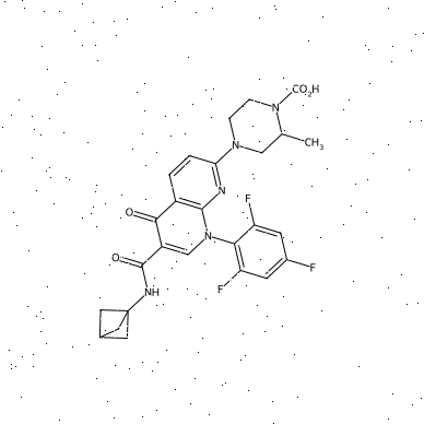 CC1CN(c2ccc3c(=O)c(C(=O)NC45CC(C4)C5)cn(-c4c(F)cc(F)cc4F)c3n2)CCN1C(=O)O